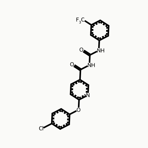 O=C(NC(=O)c1ccc(Oc2ccc(Cl)cc2)nc1)Nc1cccc(C(F)(F)F)c1